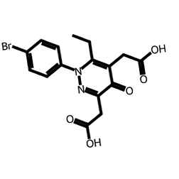 CCc1c(CC(=O)O)c(=O)c(CC(=O)O)nn1-c1ccc(Br)cc1